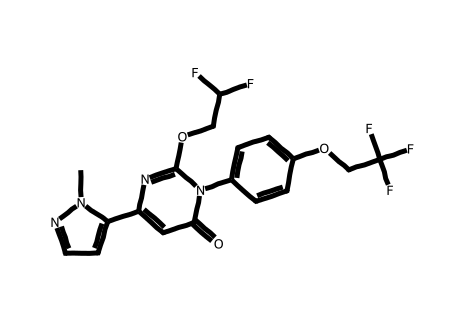 Cn1nccc1-c1cc(=O)n(-c2ccc(OCC(F)(F)F)cc2)c(OCC(F)F)n1